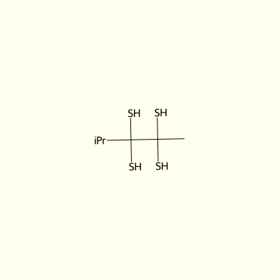 CC(C)C(S)(S)C(C)(S)S